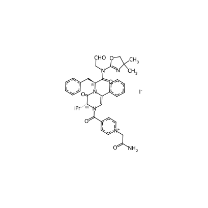 CC(C)[C@@H]1C(=O)N([C@@H](Cc2ccccc2)C(=O)N(CC=O)C2=NC(C)(C)CO2)C(c2ccccc2)=CN1C(=O)c1cc[n+](CC(N)=O)cc1.[I-]